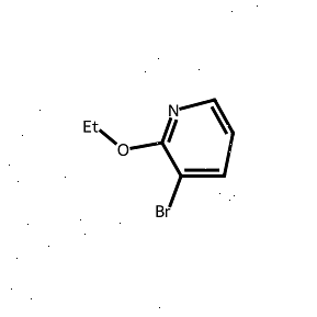 CCOc1ncccc1Br